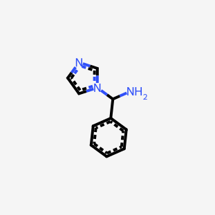 NC(c1ccccc1)n1ccnc1